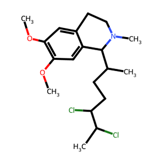 COc1cc2c(cc1OC)C(C(C)CCC(Cl)C(C)Cl)N(C)CC2